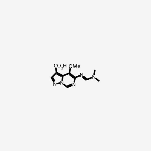 COc1c(N=CN(C)C)ncn2ncc(C(=O)O)c12